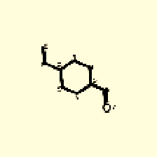 CCC1CCC([C]=O)CC1